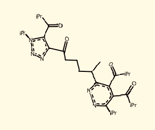 CC(C)C(=O)c1c(C(C)C)nnc(C(C)CCCC(=O)c2nnn(C(C)C)c2C(=O)C(C)C)c1C(=O)C(C)C